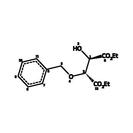 CCOC(=O)[C@H](O)[C@@H](OCc1ccccc1)C(=O)OCC